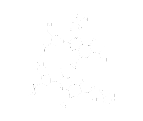 CO/N=C1\CN(c2nc3c(cc2F)c(=O)c(C(=O)O)cn3C2CC2)CC1CN.CO/N=C1\CN(c2nc3c(cc2F)c(=O)c(C(=O)O)cn3C2CC2)CC1CN.CS(=O)(=O)O.CS(=O)(=O)O.O